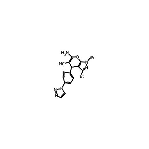 CCc1nn(C(C)C)c2c1C(c1ccc(-n3ccnn3)cc1)C(C#N)=C(N)O2